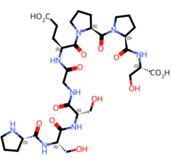 O=C(O)CC[C@H](NC(=O)CNC(=O)[C@H](CO)NC(=O)[C@H](CO)NC(=O)[C@@H]1CCCN1)C(=O)N1CCC[C@H]1C(=O)N1CCC[C@H]1C(=O)N[C@@H](CO)C(=O)O